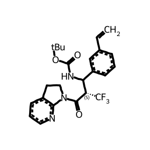 C=Cc1cccc(C(NC(=O)OC(C)(C)C)[C@@H](C(=O)N2CCc3cccnc32)C(F)(F)F)c1